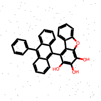 Oc1c(O)c(-c2c3ccccc3c(-c3ccccc3)c3ccccc23)c2c(oc3ccccc32)c1O